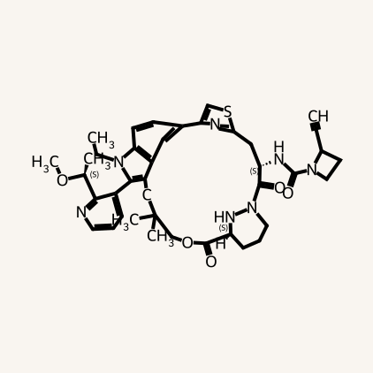 C#CC1CCN1C(=O)N[C@H]1Cc2nc(cs2)-c2ccc3c(c2)c(c(-c2cccnc2[C@H](C)OC)n3CC)CC(C)(C)COC(=O)[C@@H]2CCCN(N2)C1=O